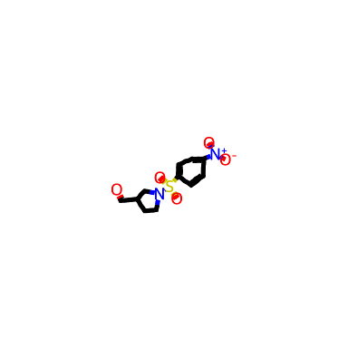 O=CC1CCN(S(=O)(=O)c2ccc([N+](=O)[O-])cc2)C1